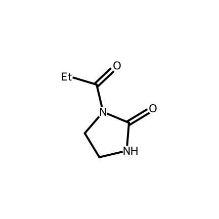 CCC(=O)N1CCNC1=O